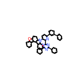 c1ccc(-c2cccc(-c3ccc(-n4c5ccccc5c5c6c(ccc54)oc4ccccc46)c(-c4nc(-c5ccccc5)nc(-c5ccccc5)n4)n3)c2)cc1